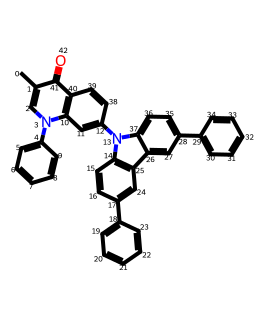 Cc1cn(-c2ccccc2)c2cc(-n3c4ccc(-c5ccccc5)cc4c4cc(-c5ccccc5)ccc43)ccc2c1=O